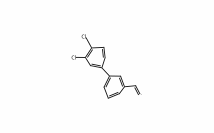 [CH]=Cc1cccc(-c2ccc(Cl)c(Cl)c2)c1